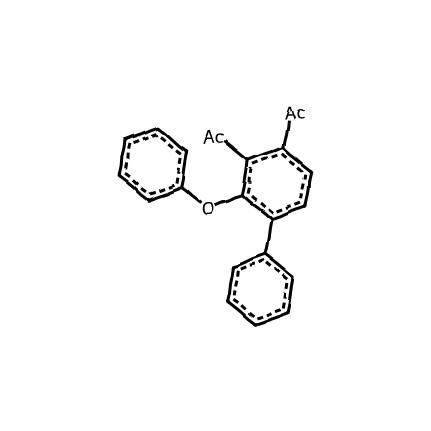 CC(=O)c1ccc(-c2ccccc2)c(Oc2ccccc2)c1C(C)=O